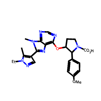 CCn1ncc(-c2nc3c(OC4CCN(C(=O)O)C4c4ccc(OC)cc4)ncnc3n2C)c1C